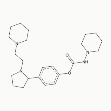 O=C(NN1CCCCC1)Oc1ccc(C2CCCN2CCN2CCCCC2)cc1